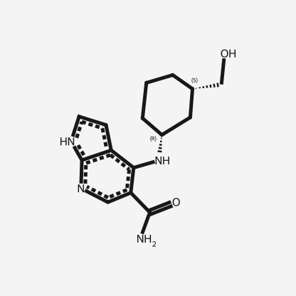 NC(=O)c1cnc2[nH]ccc2c1N[C@@H]1CCC[C@H](CO)C1